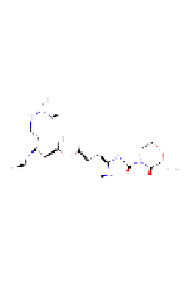 C=C/N=C(\C=C(/C)O/C(=C/C=C(\N=C)NC(=O)N1CCO[C@H](C)C1=O)CC)C/C=N\N(C)C=C